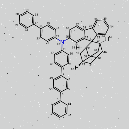 c1ccc(-c2ccc(-c3ccc(N(c4ccc(-c5ccccc5)cc4)c4ccc5c(c4)C4(c6ccccc6-5)[C@H]5CC6C[C@H](C5)C[C@@H]4C6)cc3)cc2)cc1